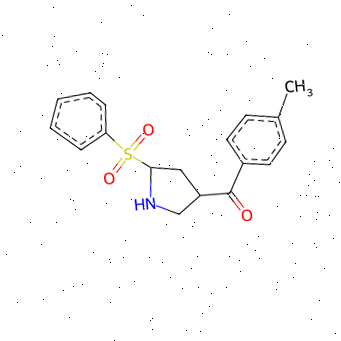 Cc1ccc(C(=O)C2CNC(S(=O)(=O)c3ccccc3)C2)cc1